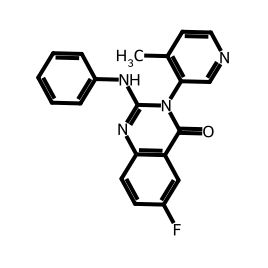 Cc1ccncc1-n1c(Nc2ccccc2)nc2ccc(F)cc2c1=O